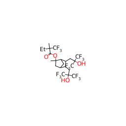 CCC(C)(C(=O)OC1(C)CC2CC1C(CC(O)(C(F)(F)F)C(F)(F)F)C2CC(O)(C(F)(F)F)C(F)(F)F)C(F)(F)F